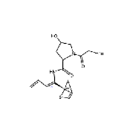 C=C/C=C(\NC(=O)C1CC(O)CN1C(=O)CC(C)(C)C)[C@@]12CC1=CS2